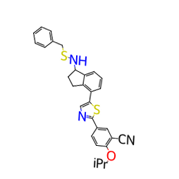 CC(C)Oc1ccc(-c2ncc(-c3cccc4c3CCC4NSCc3ccccc3)s2)cc1C#N